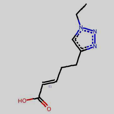 CCn1cc(CC/C=C/C(=O)O)nn1